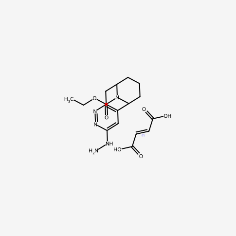 CCOC(=O)N1C2CCCC1c1cc(NN)nnc1C2.O=C(O)/C=C/C(=O)O